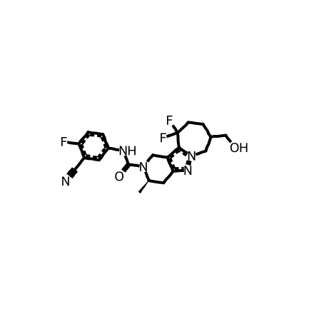 C[C@@H]1Cc2nn3c(c2CN1C(=O)Nc1ccc(F)c(C#N)c1)C(F)(F)CCC(CO)C3